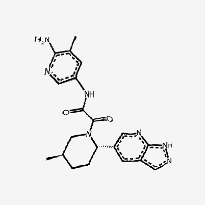 Cc1cc(NC(=O)C(=O)N2C[C@H](C)CC[C@H]2c2cnc3[nH]ncc3c2)cnc1N